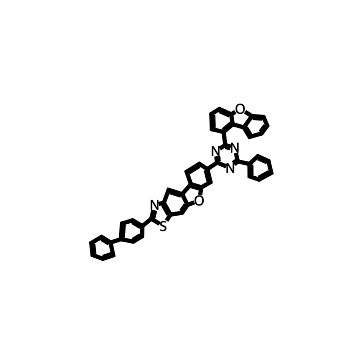 c1ccc(-c2ccc(-c3nc4cc5c(cc4s3)oc3cc(-c4nc(-c6ccccc6)nc(-c6cccc7oc8ccccc8c67)n4)ccc35)cc2)cc1